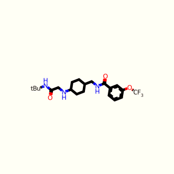 CC(C)(C)NC(=O)CNC1CCC(CNC(=O)c2cccc(OC(F)(F)F)c2)CC1